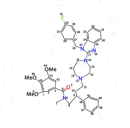 COc1cc(C(=O)N(C)CC(CCN2CCCN(c3nc4ccccc4n3Cc3ccc(F)cc3)CC2)c2ccccc2)cc(OC)c1OC